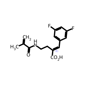 C=C(C)C(=O)NCC/C(=C\c1cc(F)cc(F)c1)C(=O)O